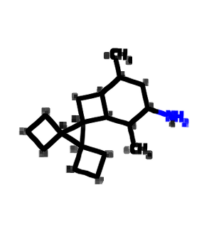 CC1CC(N)C(C)C2C1CC21C2(CCC2)C12CCC2